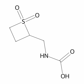 O=C(O)NCC1CCS1(=O)=O